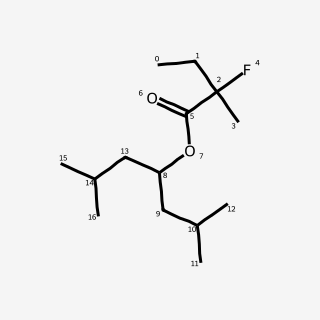 CCC(C)(F)C(=O)OC(CC(C)C)CC(C)C